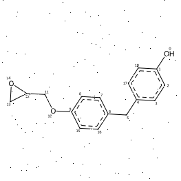 Oc1ccc(Cc2ccc(OCC3CO3)cc2)cc1